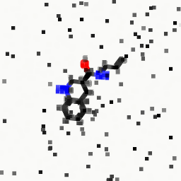 C=CCNC(=O)[C@@H]1CNc2ccccc2C1